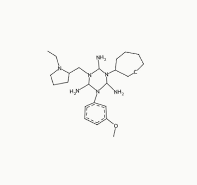 CCN1CCCC1CN1C(N)N(c2cccc(OC)c2)C(N)N(C2CCCCCC2)C1N